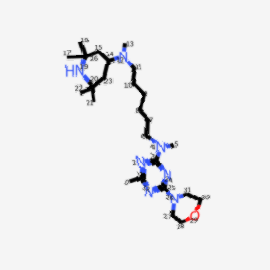 Cc1nc(N(C)CCCCCCN(C)C2CC(C)(C)NC(C)(C)C2)nc(N2CCOCC2)n1